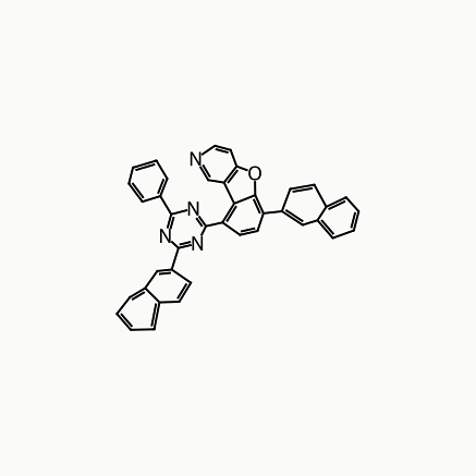 c1ccc(-c2nc(-c3ccc4ccccc4c3)nc(-c3ccc(-c4ccc5ccccc5c4)c4oc5ccncc5c34)n2)cc1